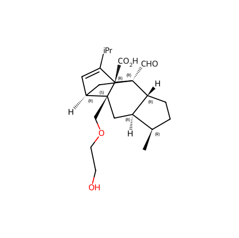 CC(C)C1=C[C@H]2C[C@@]3(C=O)[C@@H]4CC[C@@H](C)[C@H]4C[C@@]2(COCCO)[C@]13C(=O)O